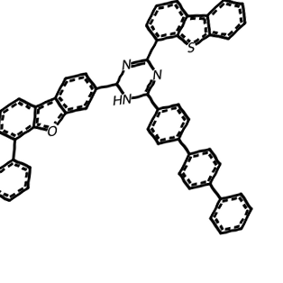 c1ccc(-c2ccc(-c3ccc(C4=NC(c5cccc6c5sc5ccccc56)=NC(c5ccc6c(c5)oc5c(-c7ccccc7)cccc56)N4)cc3)cc2)cc1